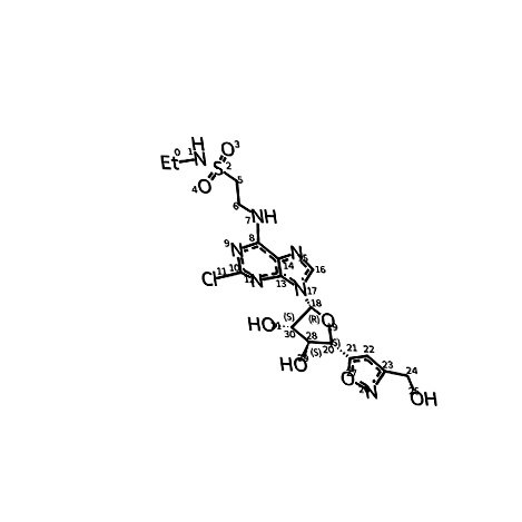 CCNS(=O)(=O)CCNc1nc(Cl)nc2c1ncn2[C@@H]1O[C@H](c2cc(CO)no2)[C@@H](O)[C@@H]1O